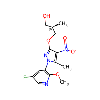 COc1ncc(F)cc1-n1nc(OC[C@H](C)CO)c([N+](=O)[O-])c1C